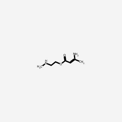 CNCCOC(=O)C=C(C)N